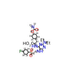 CCN(CC)c1ncc(NCCS(=O)(=O)c2ccc(F)cc2)c(NC(Cc2ccc(OC(=O)N(C)C)cc2)C(=O)O)n1